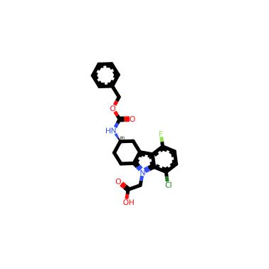 O=C(O)Cn1c2c(c3c(F)ccc(Cl)c31)C[C@H](NC(=O)OCc1ccccc1)CC2